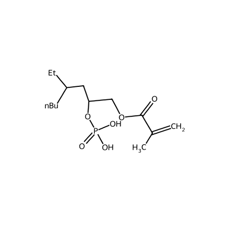 C=C(C)C(=O)OCC(CC(CC)CCCC)OP(=O)(O)O